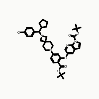 CC(C)(C)OC(=O)c1ccc(N2CCC3(CC2)CN(C(c2ccc(Cl)cc2)C2CCCC2)C3)cc1Oc1cnc2c(ccn2C(=O)OC(C)(C)C)c1